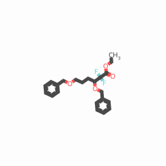 CCOC(=O)C(F)(F)C(CCCOCc1ccccc1)OCc1ccccc1